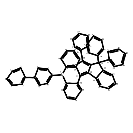 c1ccc(-c2ccc(N(c3ccccc3)c3ccccc3-c3oc(-c4ccccc4)c4c3-c3ccccc3C4(c3ccccc3)c3ccccc3)cc2)cc1